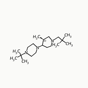 C[C@H]1CN(CC(C)(C)C)CCC1N1CCN(C(C)(C)C)CC1